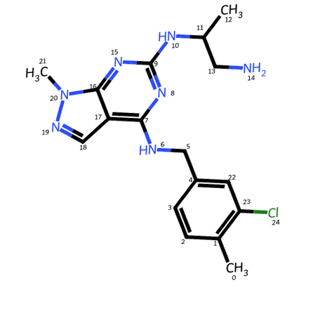 Cc1ccc(CNc2nc(NC(C)CN)nc3c2cnn3C)cc1Cl